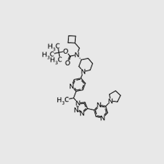 CC(c1ccc(N2CCC[C@@H](N(CC3CCC3)C(=O)OC(C)(C)C)C2)cn1)n1cc(-c2cncc(N3CCCC3)n2)nn1